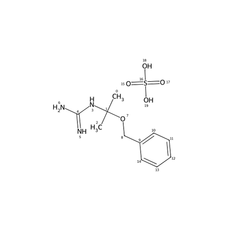 CC(C)(NC(=N)N)OCc1ccccc1.O=S(=O)(O)O